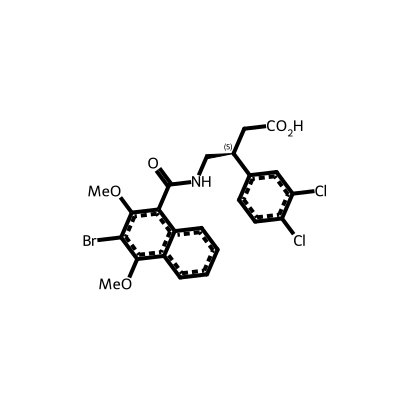 COc1c(Br)c(OC)c2ccccc2c1C(=O)NC[C@@H](CC(=O)O)c1ccc(Cl)c(Cl)c1